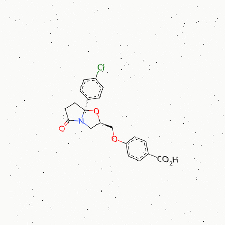 O=C(O)c1ccc(OC[C@H]2CN3C(=O)CC[C@@]3(c3ccc(Cl)cc3)O2)cc1